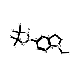 CCN1CCc2cc(B3OC(C)(C)C(C)(C)O3)ccc21